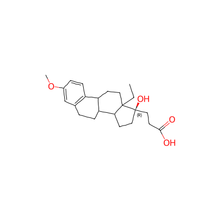 CCC12CCC3c4ccc(OC)cc4CCC3C1CC[C@@]2(O)CCC(=O)O